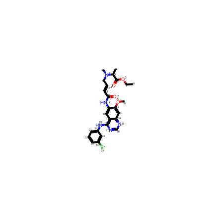 CCOC(=O)C(C)N(C)CC=CC(=O)Nc1cc2c(Nc3cccc(Br)c3)ncnc2cc1OC